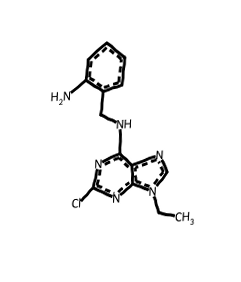 CCn1cnc2c(NCc3ccccc3N)nc(Cl)nc21